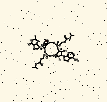 Cc1nc2c(ncn2[C@@H]2O[C@@H]3CO[P@@](=O)(SCOC(=O)OC(C)C)O[C@H]4[C@@H](O)[C@H](n5cnc6c(N)ncnc65)[C@H]5CC54CO[P@](=O)(OCOC(=O)OC(C)C)O[C@@H]2[C@@H]3CO)c(=O)[nH]1